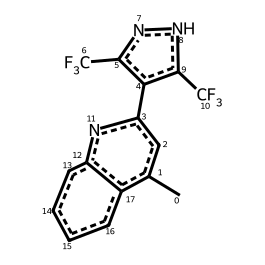 Cc1cc(-c2c(C(F)(F)F)n[nH]c2C(F)(F)F)nc2ccccc12